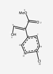 COC(=O)/C(=C/O)c1ccc(Cl)nc1